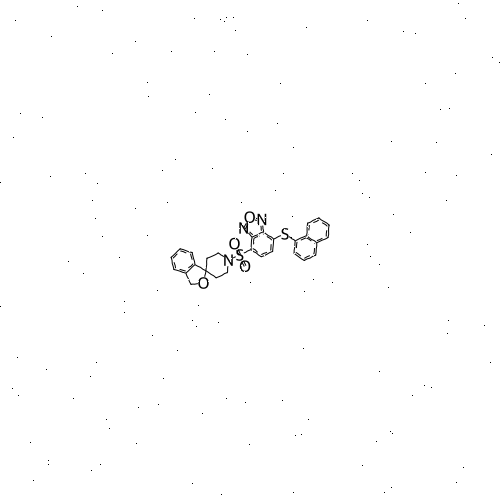 O=S(=O)(c1ccc(Sc2cccc3ccccc23)c2nonc12)N1CCC2(CC1)OCc1ccccc12